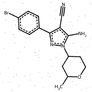 CC1CC(n2nc(-c3ccc(Br)cc3)c(C#N)c2N)CCO1